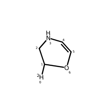 [2H]C1CNC=CO1